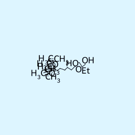 CCC(CO)(CO)OCCCCCC[Si](C)(O[Si](C)(C)C)O[Si](C)(C)C